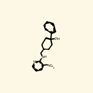 O=[N+]([O-])c1cccnc1NCC1CCC(O)(c2ccccc2)CC1